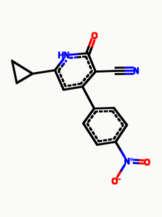 N#Cc1c(-c2ccc([N+](=O)[O-])cc2)cc(C2CC2)[nH]c1=O